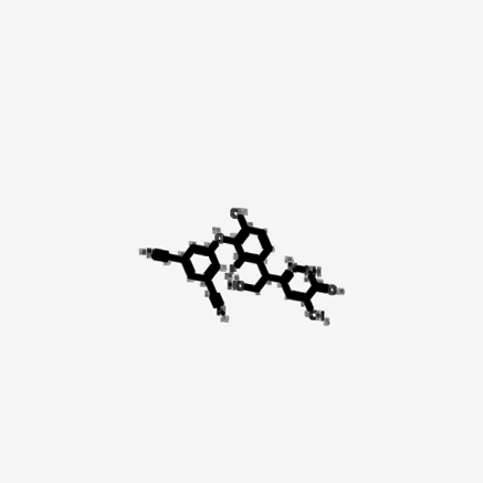 Cc1cc(C(CO)c2ccc(Cl)c(Oc3cc(C#N)cc(C#N)c3)c2F)n[nH]c1=O